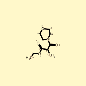 CCOC(=O)C(C)C(=O)N1CCOCC1